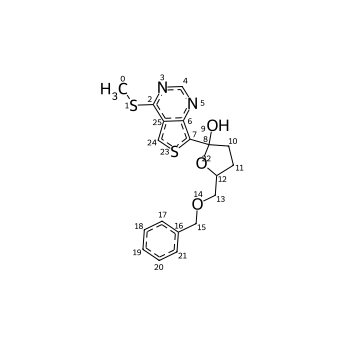 CSc1ncnc2c(C3(O)CCC(COCc4ccccc4)O3)scc12